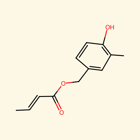 CC=CC(=O)OCc1ccc(O)c(C)c1